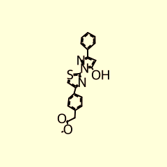 COC(=O)Cc1ccc(-c2csc(-n3nc(-c4ccccc4)cc3O)n2)cc1